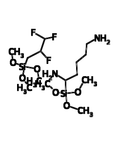 CO[Si](CC(F)C(F)F)(OC)OC.CO[Si](OC)(OC)C(N)CCCCN